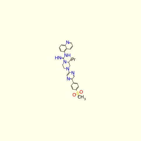 CC(C)C1CN(c2cnc(-c3ccc(S(C)(=O)=O)cc3)cn2)CCN1C(=N)Nc1cccc2ncccc12